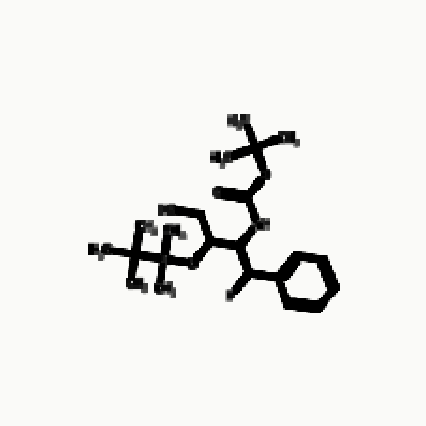 CC(C)(C)OC(=O)NC(C(CO)O[Si](C)(C)C(C)(C)C)C(F)c1ccccc1